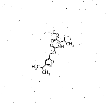 COC(=O)[C@@H](NC(=O)OCc1cc(C(C)C)no1)C(C)C